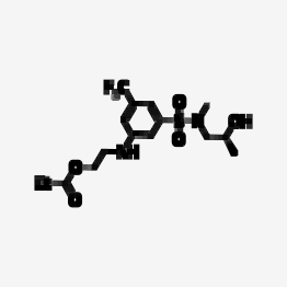 CCC(=O)OCCNc1cc(C(F)(F)F)cc(S(=O)(=O)N(C)C[C@H](C)O)c1